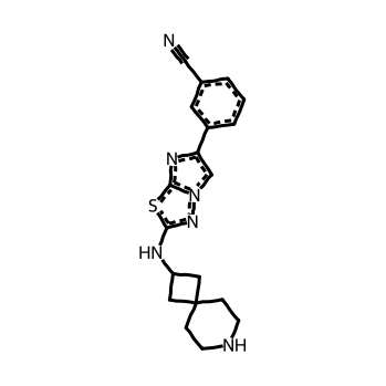 N#Cc1cccc(-c2cn3nc(NC4CC5(CCNCC5)C4)sc3n2)c1